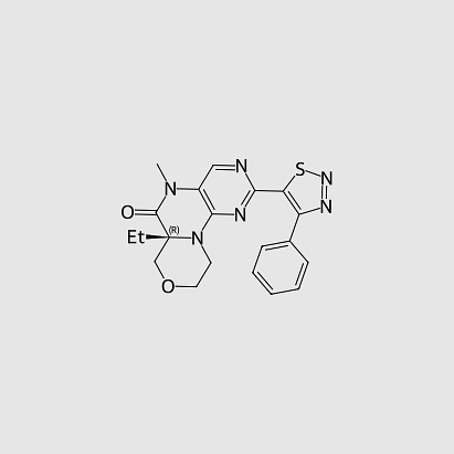 CC[C@]12COCCN1c1nc(-c3snnc3-c3ccccc3)ncc1N(C)C2=O